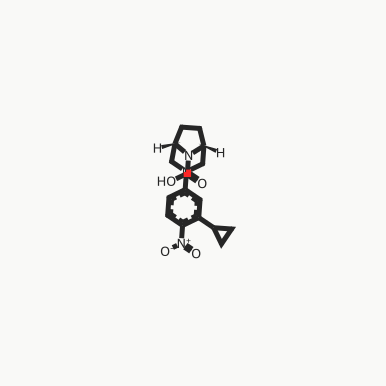 O=C(O)N1[C@@H]2CC[C@H]1CN(c1ccc([N+](=O)[O-])c(C3CC3)c1)C2